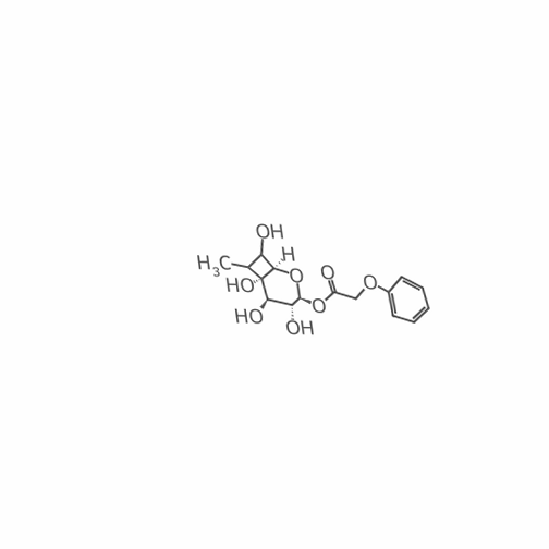 CC1C(O)[C@H]2O[C@@H](OC(=O)COc3ccccc3)[C@H](O)[C@@H](O)[C@@]12O